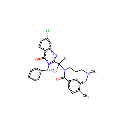 CCC(C(=O)O)(c1nc2cc(Cl)ccc2c(=O)n1Cc1ccccc1)N(CCCN(C)C)C(=O)c1ccc(C)cc1